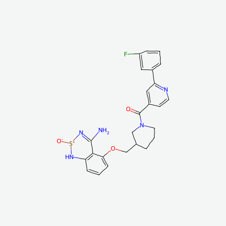 NC1=N[S+]([O-])Nc2cccc(OCC3CCCN(C(=O)c4ccnc(-c5cccc(F)c5)c4)C3)c21